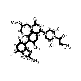 C=CC(=O)N1[C@H](C)CN(c2nc(=O)n3c4c(c(-c5c(F)cc(F)c6sc(N)nc56)c(C(F)(F)F)cc24)SCC(OC)C3)C[C@@H]1C